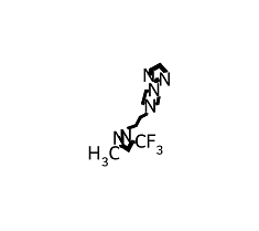 Cc1cc(C(F)(F)F)n(CCCCN2CCN(c3ncccn3)CC2)n1